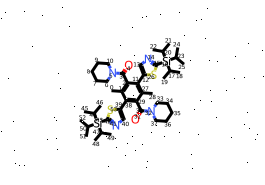 Cc1c(C(=O)N2CCCCC2)c(-c2cnc([Si](C(C)C)(C(C)C)C(C)C)s2)c(C)c(C(=O)N2CCCCC2)c1-c1cnc([Si](C(C)C)(C(C)C)C(C)C)s1